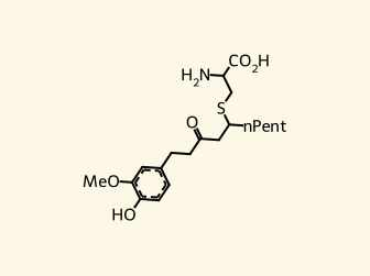 CCCCCC(CC(=O)CCc1ccc(O)c(OC)c1)SCC(N)C(=O)O